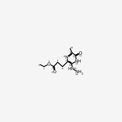 CCOC(=O)CCc1nc(C)c(=O)[nH]c1NN